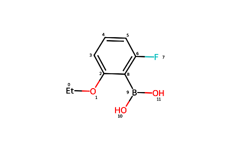 CCOc1cccc(F)c1B(O)O